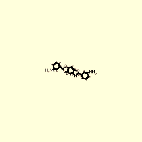 Nc1cccc(-c2nc3cc4nc(-c5cccc(N)c5)oc4cc3o2)c1